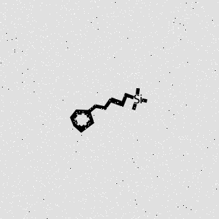 C[Si](C)(C)C/C=C/CCc1ccccc1